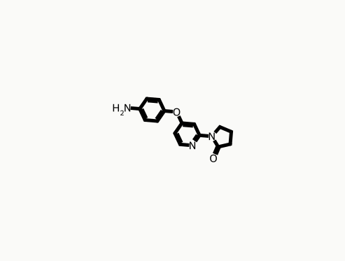 Nc1ccc(Oc2ccnc(N3CCCC3=O)c2)cc1